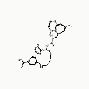 N/N=C\N(N)c1ccc(Cl)cc1/C=C/C(=O)N[C@H]1CCCCCNc2ccc(C(=O)O)cc2-c2c[nH]c1n2